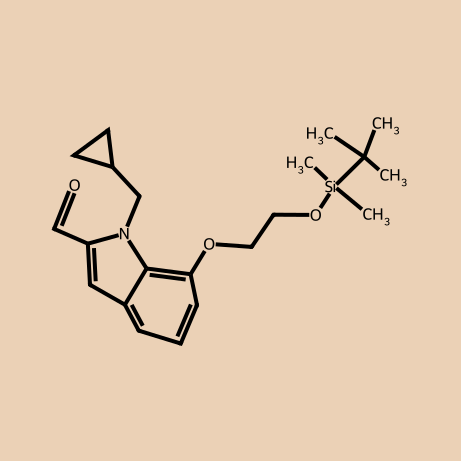 CC(C)(C)[Si](C)(C)OCCOc1cccc2cc(C=O)n(CC3CC3)c12